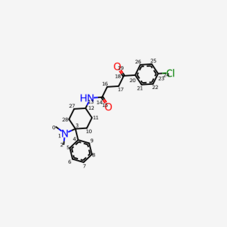 CN(C)C1(c2ccccc2)CCC(NC(=O)CCC(=O)c2ccc(Cl)cc2)CC1